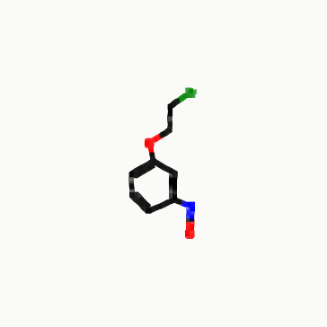 O=Nc1cccc(OCCBr)c1